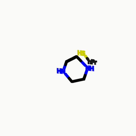 C1CNCCN1.CCCS